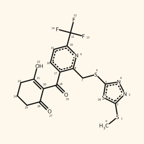 CSc1nnc(SCc2nc(C(F)(F)F)ccc2C(=O)C2=C(O)CCCC2=O)s1